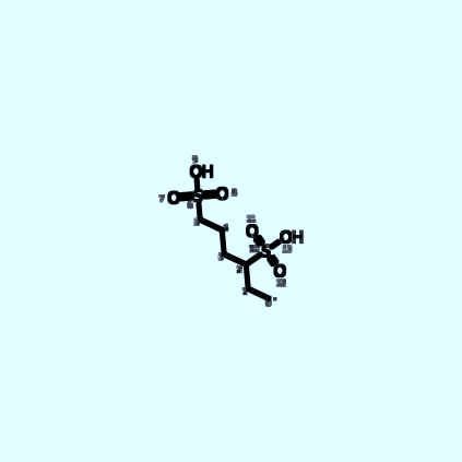 [CH2]CC(CCCS(=O)(=O)O)S(=O)(=O)O